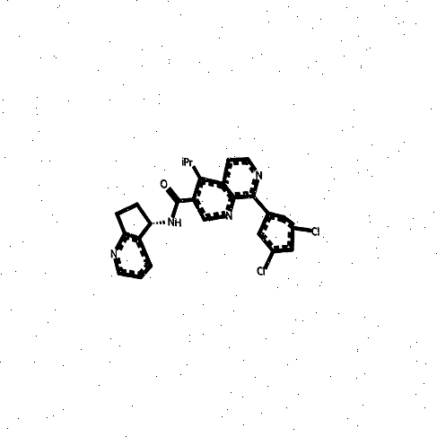 CC(C)c1c(C(=O)N[C@H]2CCc3ncccc32)cnc2c(-c3cc(Cl)cc(Cl)c3)nccc12